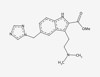 COC(=O)c1[nH]c2ccc(Cn3cncn3)cc2c1CCN(C)C